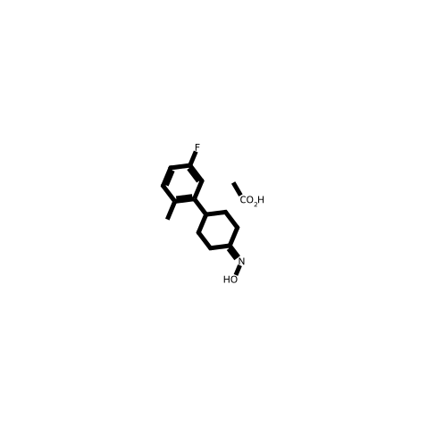 CC(=O)O.Cc1ccc(F)cc1C1CCC(=NO)CC1